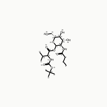 CCCC(=O)N[C@H]1C(OC(=O)C(NC(=O)OC(C)(C)C)C(C)C)O[C@H](CO)[C@@H](O)[C@@H]1O